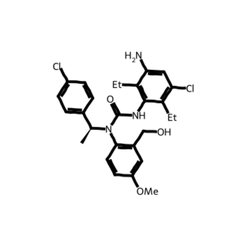 CCc1c(N)cc(Cl)c(CC)c1NC(=O)N(c1ccc(OC)cc1CO)[C@@H](C)c1ccc(Cl)cc1